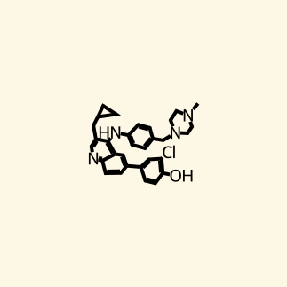 CN1CCN(Cc2ccc(Nc3c(CC4CC4)cnc4ccc(-c5ccc(O)c(Cl)c5)cc34)cc2)CC1